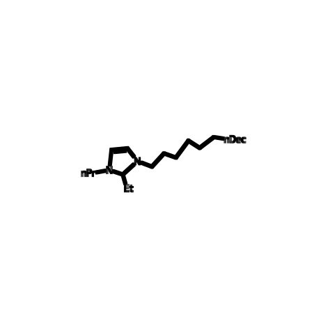 CCCCCCCCCCCCCCCCN1C=CN(CCC)C1CC